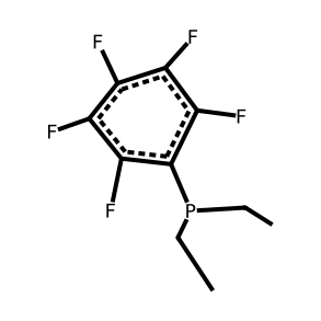 CCP(CC)c1c(F)c(F)c(F)c(F)c1F